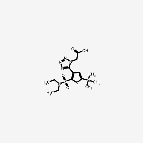 CCN(CC)S(=O)(=O)c1sc([Si](C)(C)C)cc1-c1nnnn1CC(=O)O